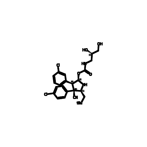 CC(C)(C)C[C@@H]1N[C@H](OC(=O)NC[C@H](O)CO)[C@H](c2cccc(Cl)c2)[C@@]1(C#N)c1ccc(Cl)cc1